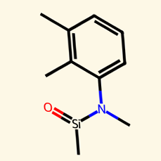 Cc1cccc(N(C)[Si](C)=O)c1C